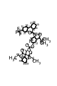 CCOC(=O)C(COC(=O)Oc1cc(C(=O)N(C)C)c(NC(=O)c2ccccc2-c2ccc(C(F)(F)F)cc2)cn1)(C(=O)OCC)c1ccccc1